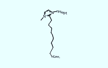 CCCCCCCCCCCCCCCCCCc1n(CCCCCCC)cc[n+]1C